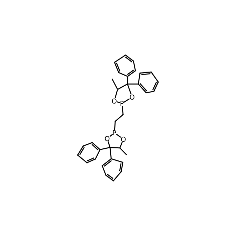 CC1OP(CCP2OC(C)C(c3ccccc3)(c3ccccc3)O2)OC1(c1ccccc1)c1ccccc1